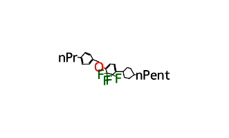 CCCCCC1CCC(C2=CC=C(OCc3ccc(CCC)cc3)C(F)(F)C2(F)F)CC1